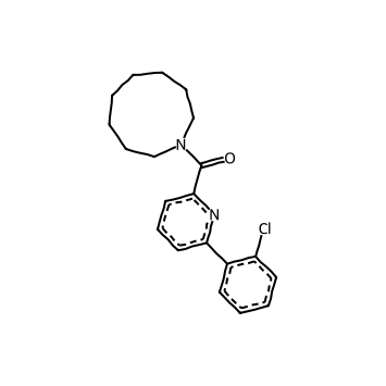 O=C(c1cccc(-c2ccccc2Cl)n1)N1CCCCCCCC1